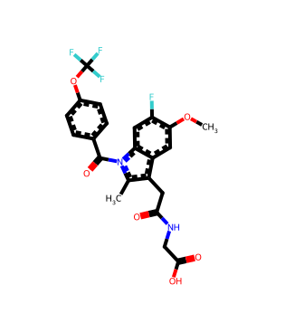 COc1cc2c(CC(=O)NCC(=O)O)c(C)n(C(=O)c3ccc(OC(F)(F)F)cc3)c2cc1F